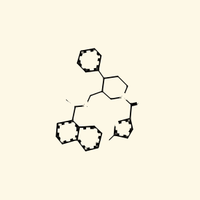 C[C@@H](NCC1CN(C(=O)c2ccc(C(=O)O)s2)CCC1c1ccccc1)c1cccc2ccccc12